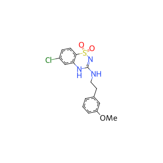 COc1cccc(CCNC2=NS(=O)(=O)c3ccc(Cl)cc3N2)c1